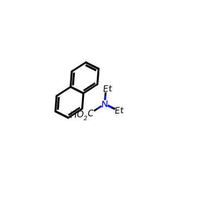 CCN(CC)C(=O)O.c1ccc2ccccc2c1